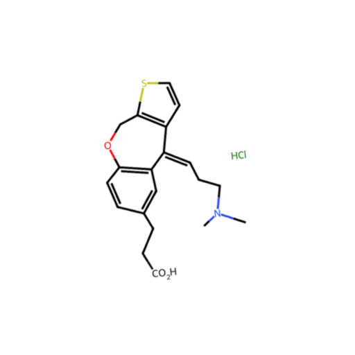 CN(C)CCC=C1c2cc(CCC(=O)O)ccc2OCc2sccc21.Cl